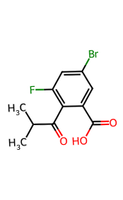 CC(C)C(=O)c1c(F)cc(Br)cc1C(=O)O